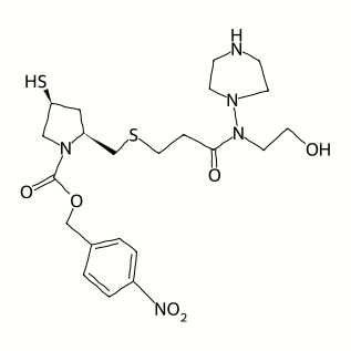 O=C(OCc1ccc([N+](=O)[O-])cc1)N1C[C@@H](S)C[C@H]1CSCCC(=O)N(CCO)N1CCNCC1